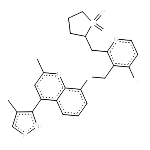 Cc1cc(-c2[nH]ncc2C)c2cccc(OCc3c(Cl)ccnc3CC3CCCS3(=O)=O)c2n1